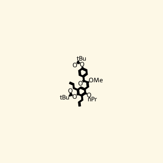 C=CCc1cc(C=C(OC)C(=O)c2ccc(OC(=O)C(C)(C)C)cc2)c(OCCC)c(CC=C)c1OC(=O)C(C)(C)C